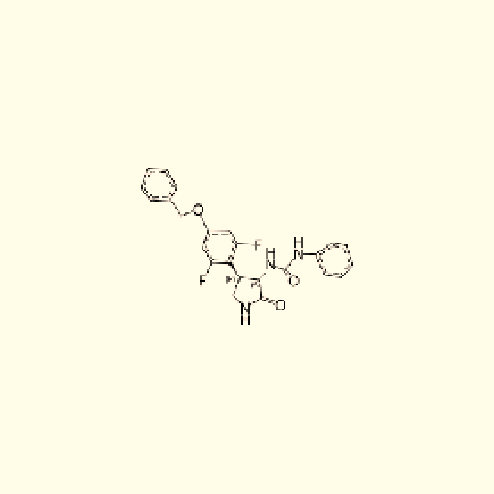 O=C(Nc1ccccc1)N[C@@H]1C(=O)NC[C@H]1c1c(F)cc(OCc2ccccc2)cc1F